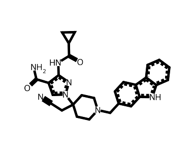 N#CCC1(n2cc(C(N)=O)c(NC(=O)C3CC3)n2)CCN(Cc2ccc3c(c2)[nH]c2ccccc23)CC1